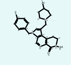 CC(=O)C1CCN(Cc2cn(Cc3ccc(F)cc3)c3cnc4c(c23)CCN(O)C4=O)CC1